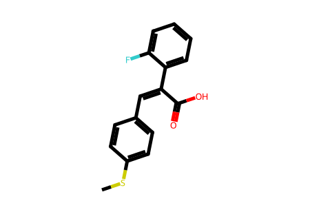 CSc1ccc(/C=C(\C(=O)O)c2ccccc2F)cc1